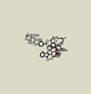 COC(=O)/C(C)=C\CC12OC(C)(C)[C@H]3C[C@H](C1=O)C1C4=C(c5ccccc5C4=O)N4CCNC45c4c(OC(=O)c6ccc(O[C@@H]7O[C@@H]8COC(C)(C)O[C@H]8[C@H](O)[C@H]7O)cc6)c6c(c(CC=C(C)C)c4OC32C15)OC(C)(CCC=C(C)C)C=C6